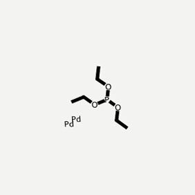 CCOP(OCC)OCC.[Pd].[Pd]